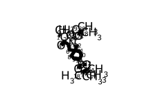 CCOC(=O)C1CC2(CC=C(B3OC(C)(C)C(C)(C)O3)CC2)CN1C(=O)OC(C)(C)C